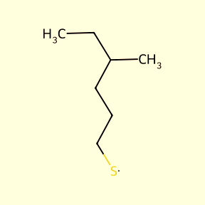 CCC(C)CCC[S]